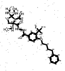 CNC1(NC)OC[C@@](NC)(C(=O)NNC(=O)c2ccc(OCCCCc3ccccc3)c(C(F)(F)F)c2)N1C(=O)O